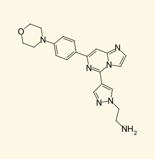 NCCn1cc(-c2nc(-c3ccc(N4CCOCC4)cc3)cc3nccn23)cn1